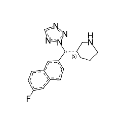 Fc1ccc2cc(C([C@H]3CCCNC3)n3ncnn3)ccc2c1